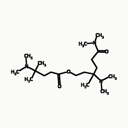 CN(C)C(=O)CCC(C)(CCOC(=O)CCC(C)(C)N(C)C)N(C)C